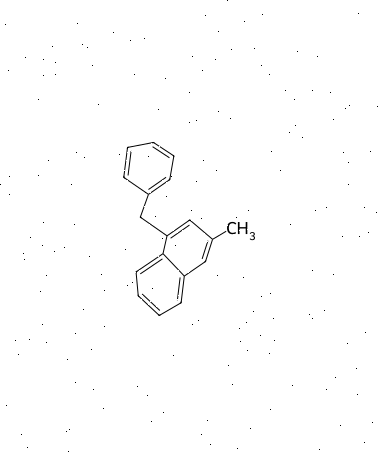 Cc1cc(Cc2ccccc2)c2ccccc2c1